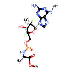 CCCNc1nc(N)nc2c1ncn2[C@@H]1O[C@](F)(CO[PH](=O)N[C@@H](C)C(=O)OC(C)C)[C@@H](O)[C@@]1(C)F